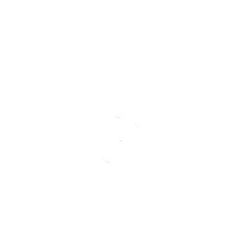 CCC1CN(c2ncc(-c3c(F)cccc3Cl)cn2)CCN1C(=O)O